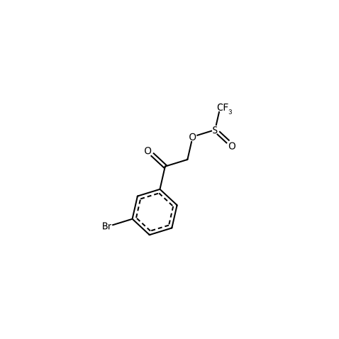 O=C(COS(=O)C(F)(F)F)c1cccc(Br)c1